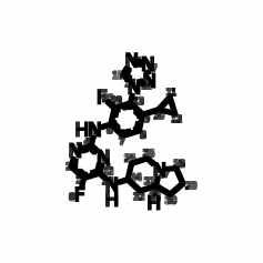 Fc1cnc(Nc2ccc(C3CC3)c(-n3cnnn3)c2F)nc1NC1CCN2CCC[C@H]2C1